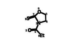 CCC(=O)N1CCOC1=S